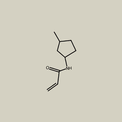 C=CC(=O)NC1CCC(C)C1